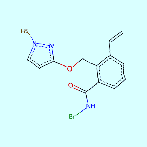 C=Cc1cccc(C(=O)NBr)c1COc1ccn(S)n1